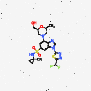 C[C@H]1CN(c2cc(S(=O)(=O)NC3(C#N)CC3)cc3c2ncn3-c2nnc(C(F)F)s2)C[C@@H](CO)O1